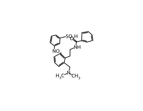 CN(C)Cc1ccccc1CCNC(=O)c1ccccc1.O=[N+]([O-])c1cccc(S(=O)(=O)O)c1